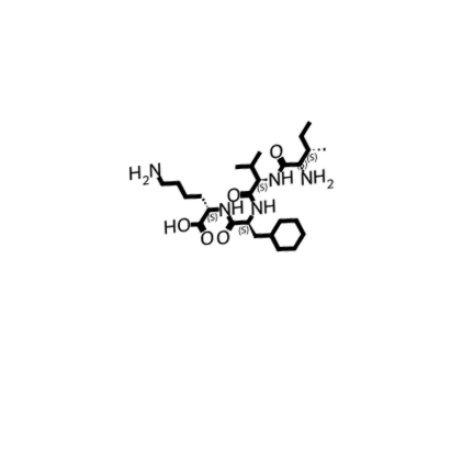 CC[C@H](C)[C@H](N)C(=O)N[C@H](C(=O)N[C@@H](CC1CCCCC1)C(=O)N[C@@H](CCCCN)C(=O)O)C(C)C